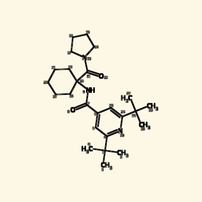 CC(C)(C)c1cc(C(=O)NC2(C(=O)N3CCCC3)CCCCC2)cc(C(C)(C)C)n1